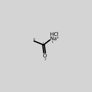 C[C](=O)[Na].Cl